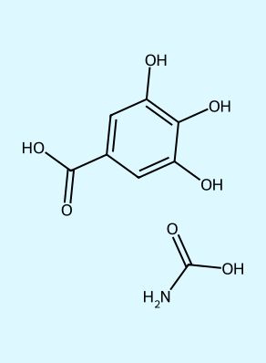 NC(=O)O.O=C(O)c1cc(O)c(O)c(O)c1